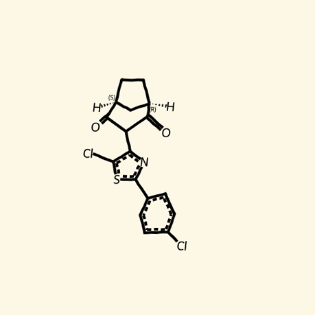 O=C1C(c2nc(-c3ccc(Cl)cc3)sc2Cl)C(=O)[C@H]2CC[C@@H]1C2